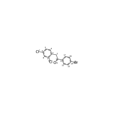 O=C(Cc1ccc(Cl)cc1Cl)c1ccc(Br)cc1